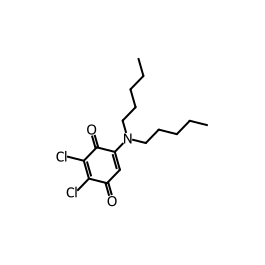 CCCCCN(CCCCC)C1=CC(=O)C(Cl)=C(Cl)C1=O